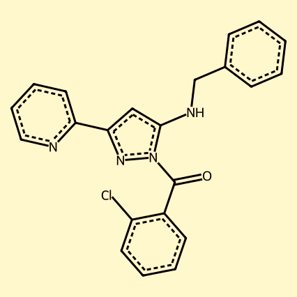 O=C(c1ccccc1Cl)n1nc(-c2ccccn2)cc1NCc1ccccc1